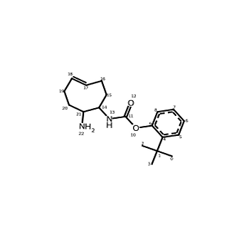 CC(C)(C)c1ccccc1OC(=O)NC1CC/C=C/CCC1N